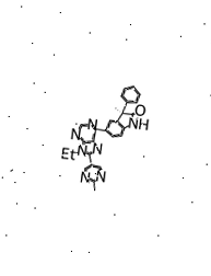 CCn1c(-c2cnc(C)nc2)nc2c(-c3ccc4c(c3)[C@@](C)(c3ccccc3)C(=O)N4)ncnc21